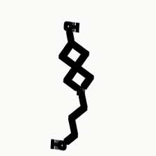 OCCCN1CC2(CC(O)C2)C1